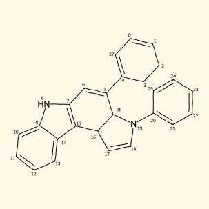 C1=CCCC(C2=Cc3[nH]c4ccccc4c3C3C=CN(c4ccccc4)C23)=C1